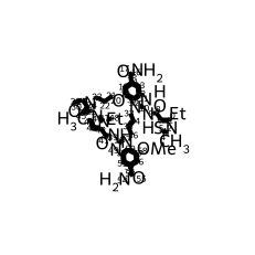 CCc1nc(C)sc1C(O)Nc1nc2cc(C(N)=O)cc(OCCCN3CC4CC3CO4)c2n1C/C=C/Cn1c(NC(=O)c2cc(C)nn2CC)nc2cc(C(N)=O)cc(OC)c21